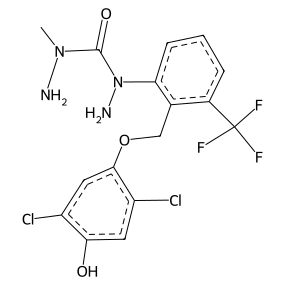 CN(N)C(=O)N(N)c1cccc(C(F)(F)F)c1COc1cc(Cl)c(O)cc1Cl